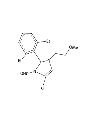 CCc1cccc(CC)c1C1N(CCOC)C=C(Cl)N1C=O